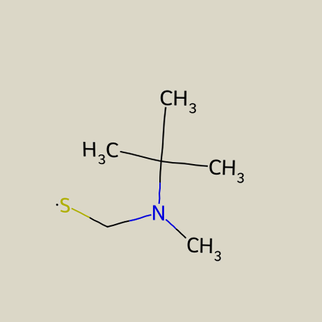 CN(C[S])C(C)(C)C